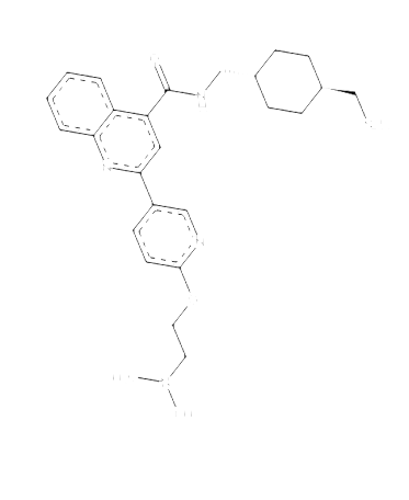 CN(C)CCOc1ccc(-c2cc(C(=O)NC[C@H]3CC[C@H](CN)CC3)c3ccccc3n2)cn1